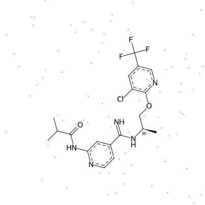 CC(C)C(=O)Nc1cc(C(=N)N[C@H](C)COc2ncc(C(F)(F)F)cc2Cl)ccn1